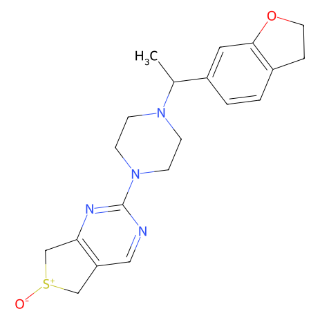 CC(c1ccc2c(c1)OCC2)N1CCN(c2ncc3c(n2)C[S+]([O-])C3)CC1